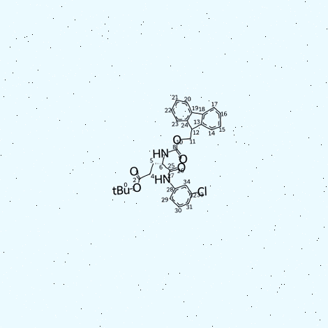 CC(C)(C)OC(=O)CC[C@H](NC(=O)OCC1c2ccccc2-c2ccccc21)C(=O)Nc1cccc(Cl)c1